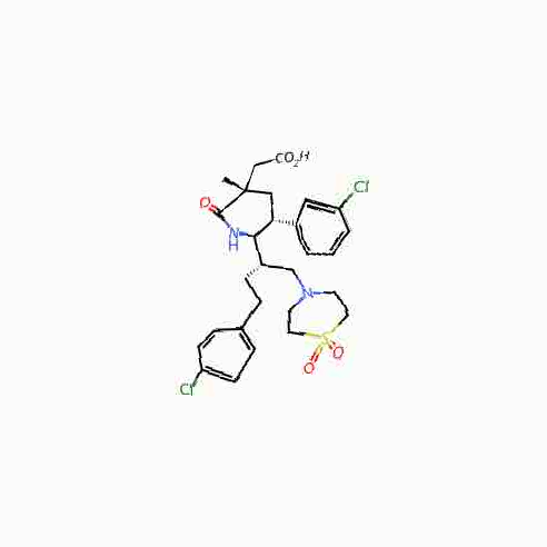 C[C@@]1(CC(=O)O)C[C@H](c2cccc(Cl)c2)[C@@H]([C@@H](CCc2ccc(Cl)cc2)CN2CCS(=O)(=O)CC2)NC1=O